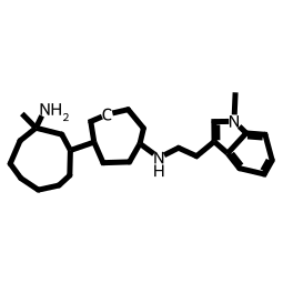 Cn1cc(CCNC2CCCCC(C3CCCCCCC(C)(N)C3)CC2)c2ccccc21